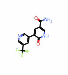 NC(=O)c1c[nH]c(=O)c(-c2cncc(C(F)(F)F)c2)c1